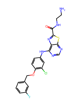 NCCNC(=O)c1nc2c(Nc3ccc(OCc4cccc(F)c4)c(Cl)c3)ncnc2s1